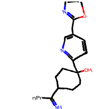 C[CH]CC(=N)C1CCC(O)(c2ccc(-c3ncco3)cn2)CC1